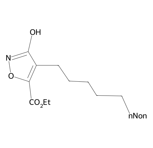 CCCCCCCCCCCCCCc1c(O)noc1C(=O)OCC